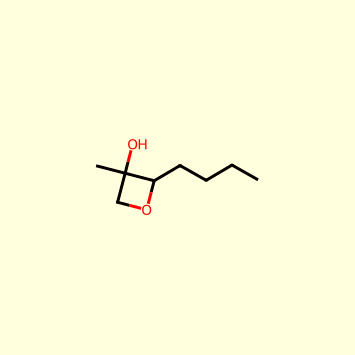 CCCCC1OCC1(C)O